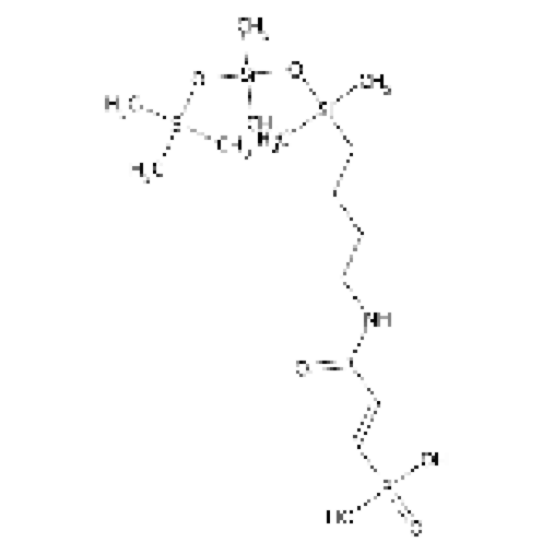 C[Si](C)(C)O[Si](C)(C)O[Si](C)(C)CCCCNC(=O)C=CP(=O)(O)O